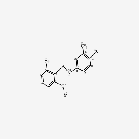 CCOc1cccc(O)c1CNc1ccc(Cl)c(C(F)(F)F)c1